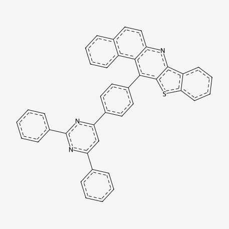 c1ccc(-c2cc(-c3ccc(-c4c5sc6ccccc6c5nc5ccc6ccccc6c45)cc3)nc(-c3ccccc3)n2)cc1